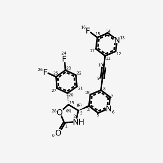 O=C1N[C@H](c2cncc(C#Cc3cncc(F)c3)c2)[C@@H](c2ccc(F)c(F)c2)O1